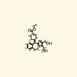 CCOC(=O)N1CCC(=C2c3ccccc3CCn3c2nc(CO)c3CO)CC1